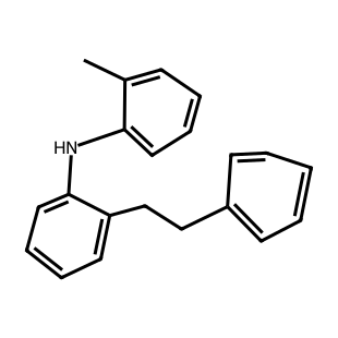 Cc1ccccc1Nc1ccccc1CCc1ccccc1